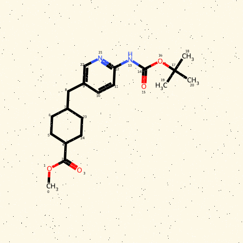 COC(=O)C1CCC(Cc2ccc(NC(=O)OC(C)(C)C)nc2)CC1